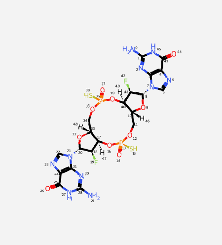 Nc1nc2c(ncn2[C@@H]2O[C@@H]3CO[P@@](=O)(S)O[C@H]4[C@@H](F)[C@H](n5cnc6c(=O)[nH]c(N)nc65)O[C@@H]4COP(=O)(S)O[C@H]3[C@H]2F)c(=O)[nH]1